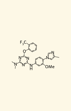 COc1cc(Nc2nc(Oc3ccccc3C(F)(F)F)nc(N(C)C)n2)ccc1-n1cnc(C)c1